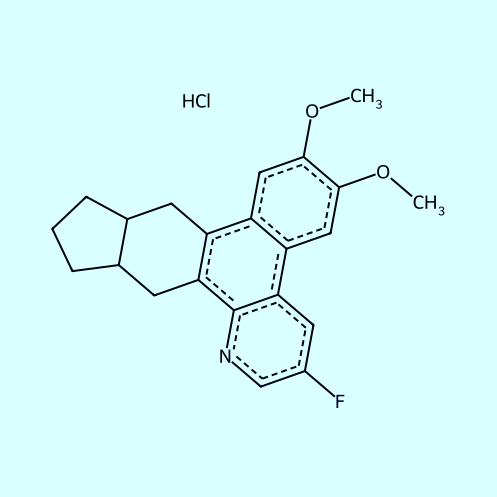 COc1cc2c3c(c4ncc(F)cc4c2cc1OC)CC1CCCC1C3.Cl